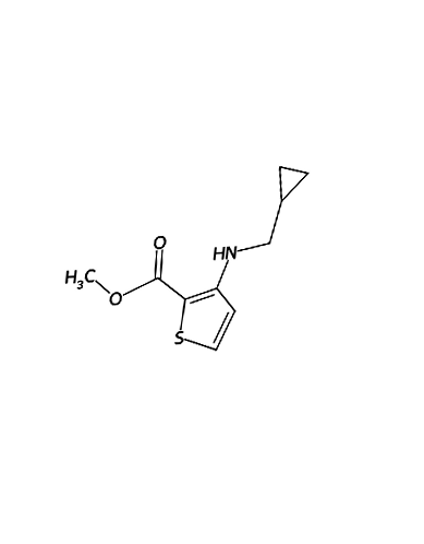 COC(=O)c1sccc1NCC1CC1